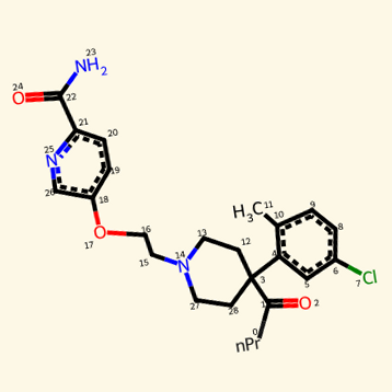 CCCC(=O)C1(c2cc(Cl)ccc2C)CCN(CCOc2ccc(C(N)=O)nc2)CC1